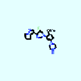 COc1ccc(N2CCNCC2)cc1N1C=C(F)C(c2cnn3ccccc23)=NC1